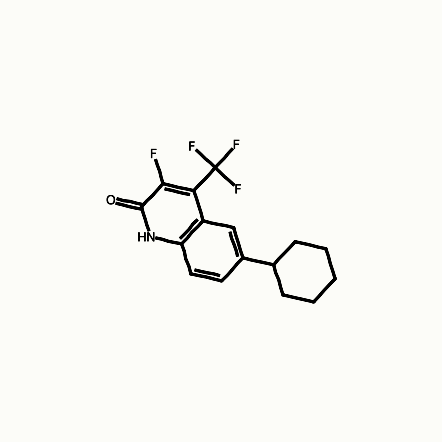 O=c1[nH]c2ccc(C3CCCCC3)cc2c(C(F)(F)F)c1F